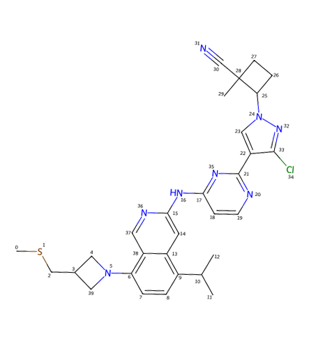 CSCC1CN(c2ccc(C(C)C)c3cc(Nc4ccnc(-c5cn(C6CCC6(C)C#N)nc5Cl)n4)ncc23)C1